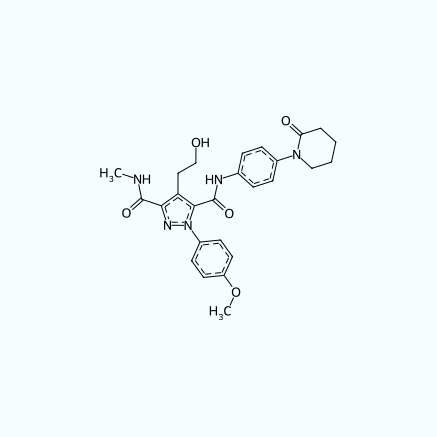 CNC(=O)c1nn(-c2ccc(OC)cc2)c(C(=O)Nc2ccc(N3CCCCC3=O)cc2)c1CCO